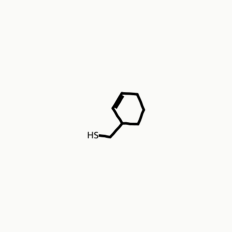 SCC1C=CCCC1